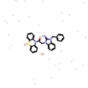 Br.N=c1n(CC(=O)N2c3ccccc3[S+]([O-])c3ccccc32)c2ccccc2n1Cc1ccccc1